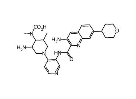 CC1CN(c2ccncc2NC(=O)c2nc3cc(C4CCOCC4)ccc3cc2N)CC(N)C1N(C)C(=O)O